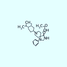 CC(=O)O.CC(C)[C@H]1CC[C@@H](N2CCC3(CC2)C(=O)NCN3c2ccccc2)CC1